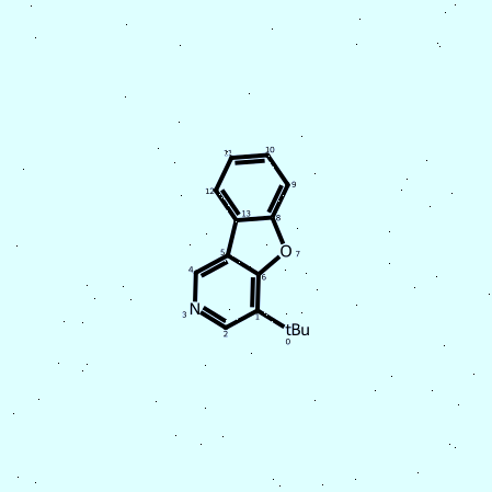 CC(C)(C)c1cncc2c1oc1ccccc12